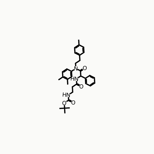 Cc1ccc(CCN(C(=O)C(NC(=O)CCNC(=O)OC(C)(C)C)c2ccccc2)c2ccc(C)c(C)c2)cc1